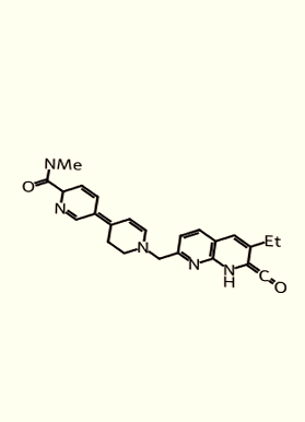 CCC1=Cc2ccc(CN3C=CC(=C4C=CC(C(=O)NC)N=C4)CC3)nc2NC1=C=O